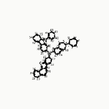 c1ccc(-c2ccc3cc(N(c4ccc5c(c4)sc4c6ccccc6ccc54)c4ccc5c6ccccc6n(-c6ccccc6)c5c4)ccc3c2)cc1